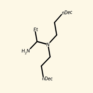 CCCCCCCCCCCCN(CCCCCCCCCCCC)C(N)CC